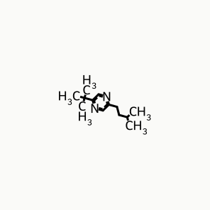 CC(C)CCc1cnc(C(C)(C)C)cn1